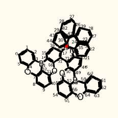 c1ccc2c(c1)Oc1cccc3c1B2c1ccc(-n2c4ccccc4c4ccccc42)c(-c2c(-n4c5ccccc5c5ccccc54)ccc4c2Oc2cccc5c2B4c2ccccc2O5)c1O3